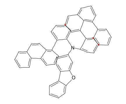 c1ccc(-c2cccc3cccc(-c4ccccc4N(c4ccc5c(c4)oc4ccccc45)c4ccccc4-c4cccc5c4ccc4ccccc45)c23)cc1